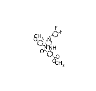 COC(=O)c1ccc2c(c1)NC1(CCN(Cc3ccc(F)c(F)c3)CC1)N(c1ccc(OC)cc1)C2=O